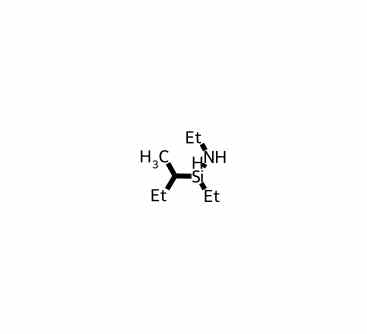 CCN[SiH](CC)C(C)CC